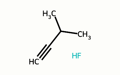 C#CC(C)C.F